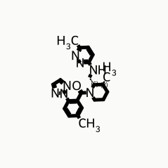 Cc1ccc(-n2nccn2)c(C(=O)N2CCC[C@@H](C)[C@H]2CNc2ccc(C)nn2)c1